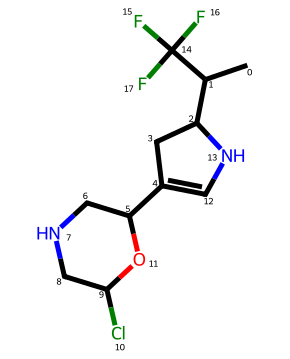 CC(C1CC(C2CNCC(Cl)O2)=CN1)C(F)(F)F